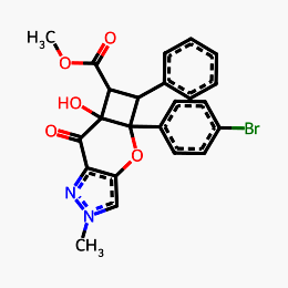 COC(=O)C1C(c2ccccc2)C2(c3ccc(Br)cc3)Oc3cn(C)nc3C(=O)C12O